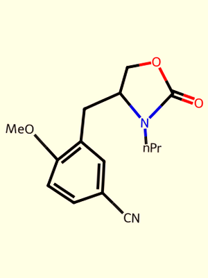 CCCN1C(=O)OCC1Cc1cc(C#N)ccc1OC